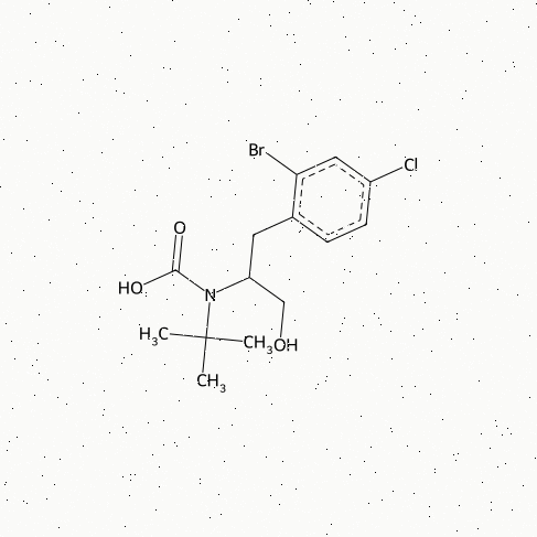 CC(C)(C)N(C(=O)O)C(CO)Cc1ccc(Cl)cc1Br